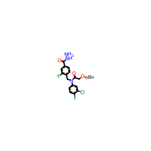 CCCCOCC(=O)N(Cc1ccc(C(=O)NN)cc1F)c1ccc(F)c(Cl)c1